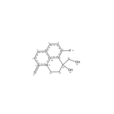 O=c1ccc2ccc(F)c3c2n1CCC3(O)CO